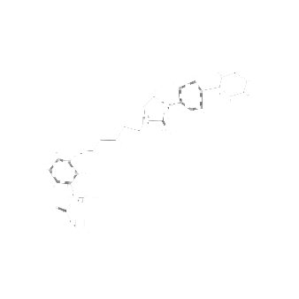 NC(=O)N(S)c1cccc(OCCCCCN2CCN(c3ccc(C4CCCCC4)cc3)C2=S)c1